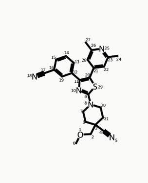 COCC1(C#N)CCN(c2nc(-c3cccc(C#N)c3)c(-c3cc(C)nc(C)c3)s2)CC1